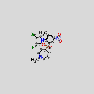 Cc1cc([N+](=O)[O-])cc(S(=O)(=O)C2CCCN(C)CC2)c1N(CCBr)CCBr